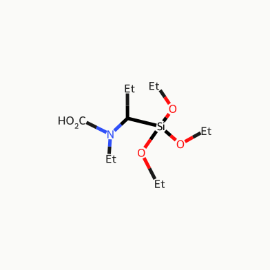 CCO[Si](OCC)(OCC)C(CC)N(CC)C(=O)O